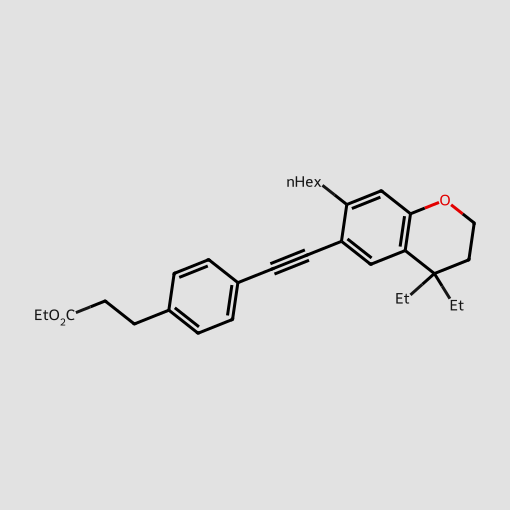 CCCCCCc1cc2c(cc1C#Cc1ccc(CCC(=O)OCC)cc1)C(CC)(CC)CCO2